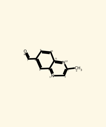 Cc1cnc2cc(C=O)ccc2n1